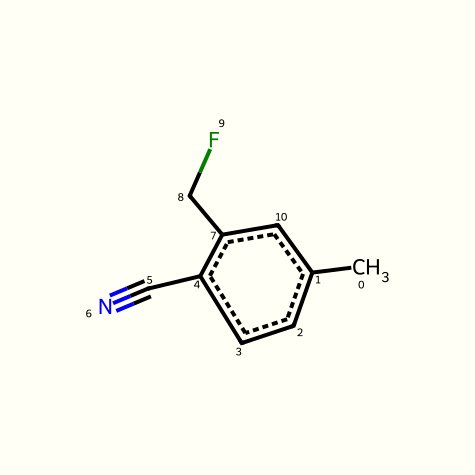 Cc1ccc(C#N)c(CF)c1